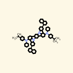 CC(C)c1ccc(N(c2ccccc2)c2ccc3c4cc5c(cc4n4c6ccc(-c7cccc8ccccc78)cc6c2c34)c2ccc(N(c3ccccc3)c3ccc(C(C)C)cc3)c3c4cc(-c6cccc7ccccc67)ccc4n5c23)cc1